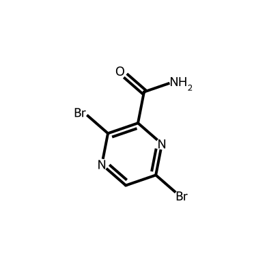 NC(=O)c1nc(Br)cnc1Br